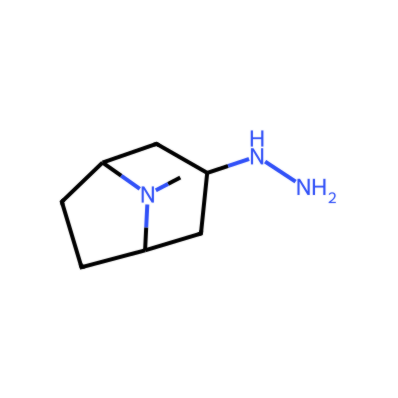 CN1C2CCC1CC(NN)C2